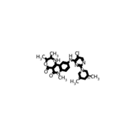 CC1Nc2c(c(=O)n(C)c3ccc(Nc4nc(N5C[C@H](C)C[C@H](C)C5)ncc4Cl)cc23)C(=O)OC1C